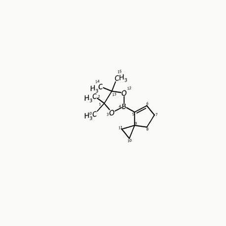 CC1(C)OB(C2=CCCC23CC3)OC1(C)C